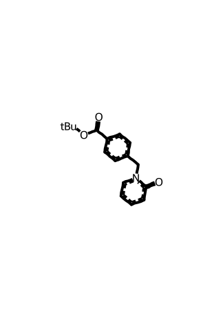 CC(C)(C)OC(=O)c1ccc(Cn2ccccc2=O)cc1